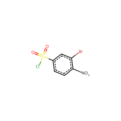 O=[N+]([O-])c1ccc(S(=O)(=O)Cl)cc1Br